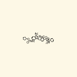 COc1cc(C(=O)NS(=O)(=O)c2ccccc2)ccc1Cn1cc(C(C)=O)c2ccc(NC(=O)OC3CCCC3)cc21